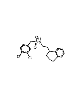 O=S(=O)(Cc1ccc(Cl)c(Cl)c1)NCCC1CCCc2ccccc21